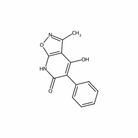 Cc1noc2[nH]c(=O)c(-c3ccccc3)c(O)c12